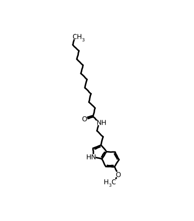 CCCCCCCCCCCC(=O)NCCc1c[nH]c2cc(OC)ccc12